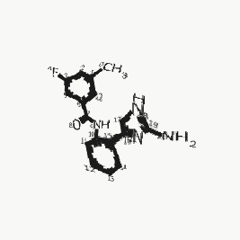 Cc1cc(F)cc(C(=O)Nc2ccccc2-c2c[nH]c(N)n2)c1